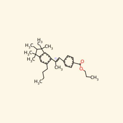 CCCCc1cc2c(cc1/C(C)=C/c1ccc(C(=O)OCCC)cc1)C(C)(C)C(C)C2(C)C